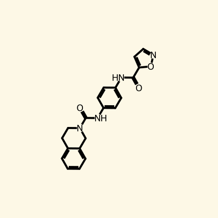 O=C(Nc1ccc(NC(=O)N2CCc3ccccc3C2)cc1)c1ccno1